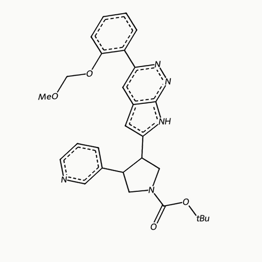 COCOc1ccccc1-c1cc2cc(C3CN(C(=O)OC(C)(C)C)CC3c3cccnc3)[nH]c2nn1